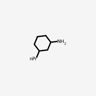 CCCC1C[CH]CC(N)C1